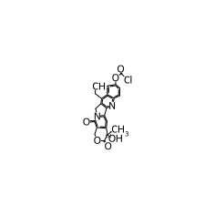 CCc1c2c(nc3ccc(OC(=O)Cl)cc13)-c1cc3c(c(=O)n1C2)COC(=O)[C@@]3(C)O